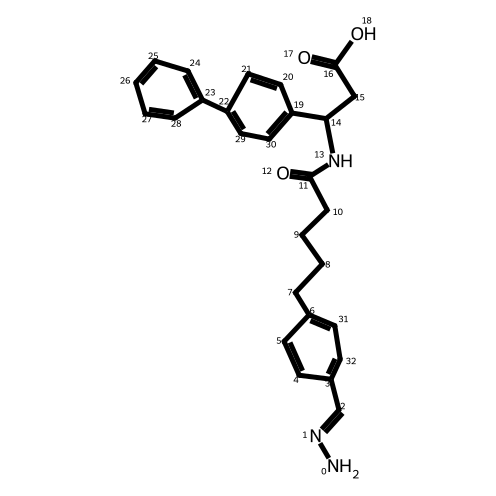 NN=Cc1ccc(CCCCC(=O)NC(CC(=O)O)c2ccc(-c3ccccc3)cc2)cc1